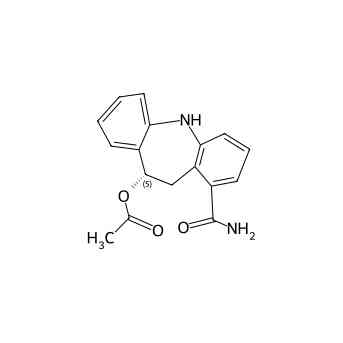 CC(=O)O[C@H]1Cc2c(cccc2C(N)=O)Nc2ccccc21